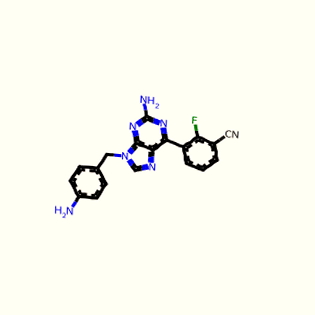 N#Cc1cccc(-c2nc(N)nc3c2ncn3Cc2ccc(N)cc2)c1F